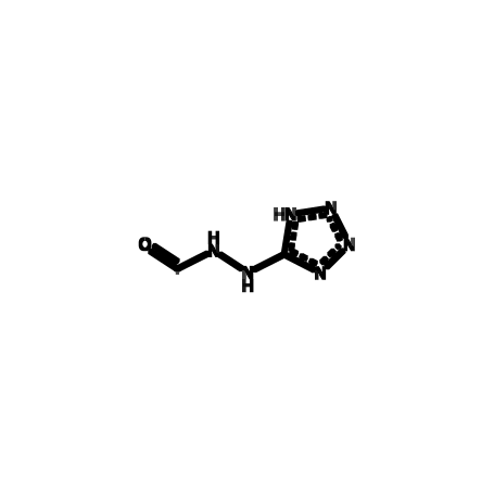 O=[C]NNc1nnn[nH]1